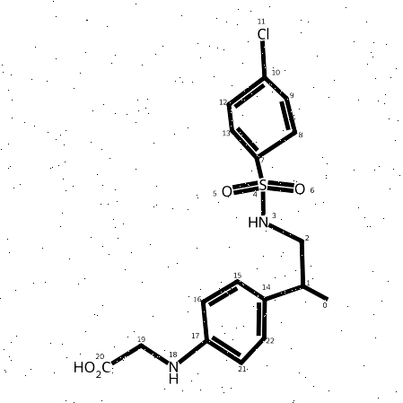 CC(CNS(=O)(=O)c1ccc(Cl)cc1)c1ccc(NCC(=O)O)cc1